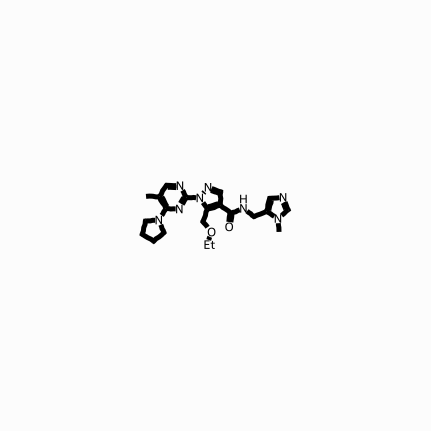 CCOCc1c(C(=O)NCc2cncn2C)cnn1-c1ncc(C)c(N2CCCC2)n1